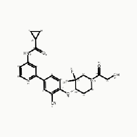 N#Cc1cc(-c2cc(NC(=O)C3CC3)ccn2)ccc1O[C@H]1CCN(C(=O)CO)CC1(F)F